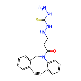 NNC(=S)NNCCC(=O)N1Cc2ccccc2C#Cc2ccccc21